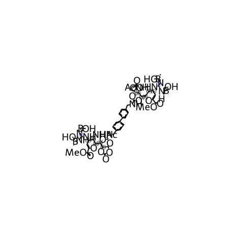 COC(=O)C1=C[C@H](N/C(=N\B(C)O)NB(C)O)[C@@H](NC(C)=O)[C@H]([C@H](OC(=O)NCc2ccc(-c3ccc(CNC(=O)O[C@@H]([C@@H]4OC(C(=O)OC)=C[C@H](N/C(=N\B(C)O)NB(C)O)[C@H]4NC(C)=O)[C@H]4COC(=O)O4)cc3)cc2)[C@H]2COC(=O)O2)O1